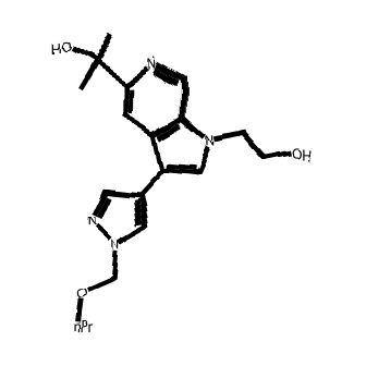 CCCOCn1cc(-c2cn(CCO)c3cnc(C(C)(C)O)cc23)cn1